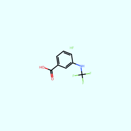 F.O=C(O)c1cccc(NC(F)(F)F)c1